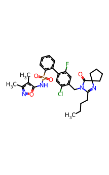 CCCCC1=NC2(CCCC2)C(=O)N1Cc1cc(F)c(-c2ccccc2S(=O)(=O)Nc2onc(C)c2C)cc1Cl